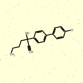 C#CC(O)(CCCC)c1ccc(-c2ccc(Cl)cc2)cc1